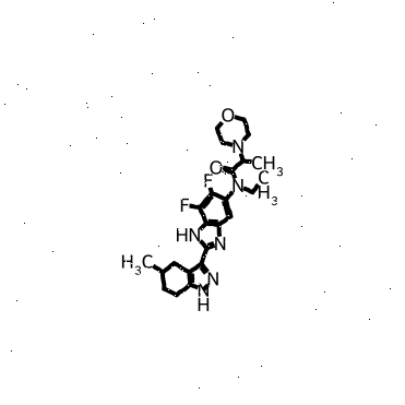 CCN(C(=O)C(C)N1CCOCC1)c1cc2nc(-c3n[nH]c4c3CC(C)CC4)[nH]c2c(F)c1F